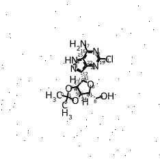 CC1(C)O[C@@H]2[C@H](O1)[C@@H](CO)O[C@H]2c1n[nH]c2c(N)nc(Cl)nc12